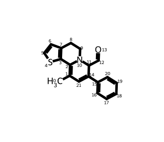 CC1=C2c3sccc3CCN2C(C=O)C(c2ccccc2)=C1